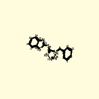 c1ccc(Cn2nnnc2Sc2nc3ccccc3s2)cc1